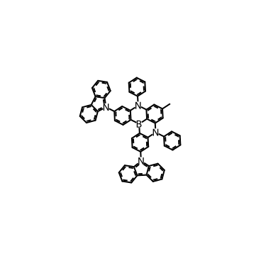 Cc1cc2c3c(c1)N(c1ccccc1)c1cc(-n4c5ccccc5c5ccccc54)ccc1B3c1ccc(-n3c4ccccc4c4ccccc43)cc1N2c1ccccc1